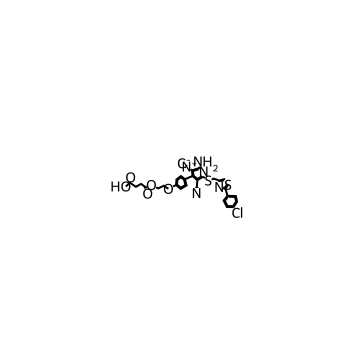 [C-]#[N+]c1c(N)nc(SCc2csc(-c3ccc(Cl)cc3)n2)c(C#N)c1-c1ccc(OCCOC(=O)CCC(=O)O)cc1